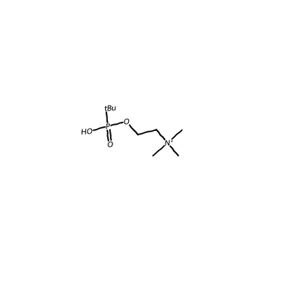 CC(C)(C)P(=O)(O)OCC[N+](C)(C)C